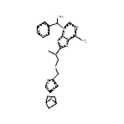 C1CC2CC1O2.COC(c1ccccc1)n1cnc(N)c2nc(C(C)COCc3cccs3)nc1-2